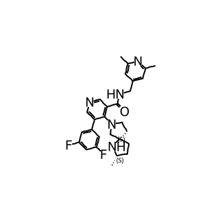 Cc1cc(CNC(=O)c2cncc(-c3cc(F)cc(F)c3)c2N2CC[C@@]3(CC[C@H](C)N3)C2)cc(C)n1